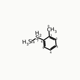 Cc1ccccc1[SiH2][SiH3]